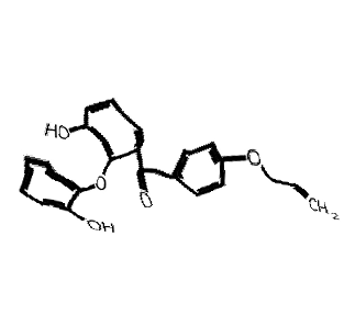 C=CCOc1ccc(C(=O)c2cccc(O)c2Oc2ccccc2O)cc1